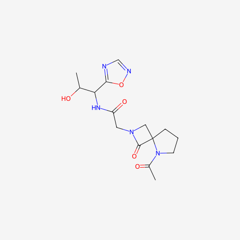 CC(=O)N1CCCC12CN(CC(=O)NC(c1ncno1)C(C)O)C2=O